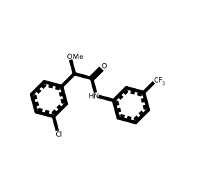 COC(C(=O)Nc1cccc(C(F)(F)F)c1)c1cccc(Cl)c1